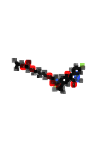 CNC(=O)c1c(-c2ccc(F)cc2)oc2cc(N(CCOCCCCCOCC(=O)OCC(C)C)S(C)(=O)=O)c(C3CC3)cc12